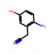 N#CCc1cc(O)ccc1N